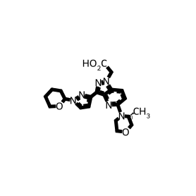 C[C@@H]1COCCN1c1ccc2c(n1)c(-c1ccn(C3CCCCO3)n1)nn2CC(=O)O